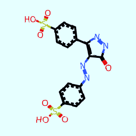 O=C1N=NC(c2ccc(S(=O)(=O)O)cc2)=C1N=Nc1ccc(S(=O)(=O)O)cc1